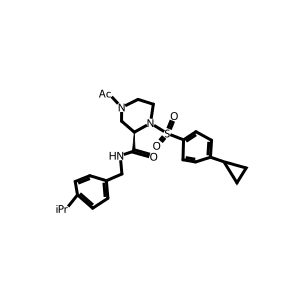 CC(=O)N1CCN(S(=O)(=O)c2ccc(C3CC3)cc2)[C@@H](C(=O)NCc2ccc(C(C)C)cc2)C1